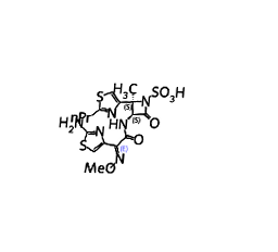 CCCc1nc([C@]2(C)[C@H](NC(=O)/C(=N/OC)c3csc(N)n3)C(=O)N2S(=O)(=O)O)cs1